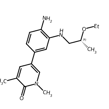 CCO[C@H](C)CNc1cc(-c2cc(C)c(=O)n(C)c2)ccc1N